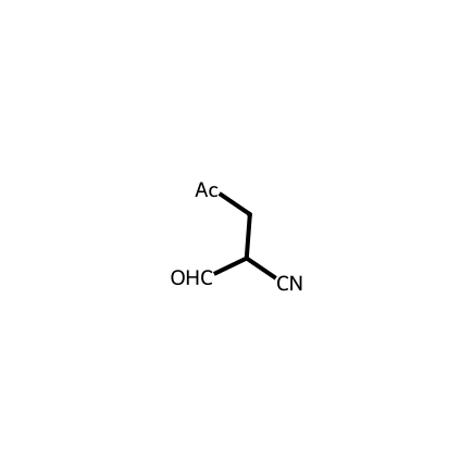 CC(=O)CC(C#N)C=O